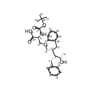 C[C@H](O)[C@H](Cc1ccccc1)[C@H](COC[C@H](NC(=O)OC(C)(C)C)C(=O)O)Cc1ccccc1